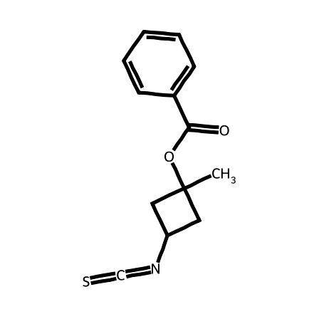 CC1(OC(=O)c2ccccc2)CC(N=C=S)C1